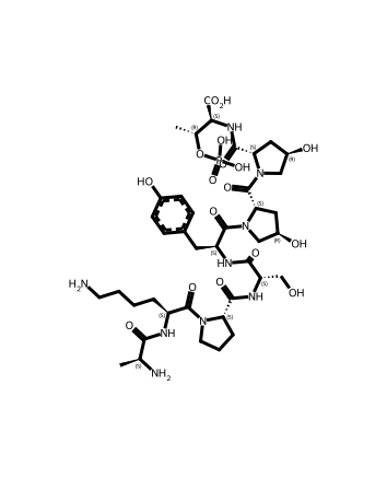 C[C@H](N)C(=O)N[C@@H](CCCCN)C(=O)N1CCC[C@H]1C(=O)N[C@@H](CO)C(=O)N[C@@H](Cc1ccc(O)cc1)C(=O)N1C[C@H](O)C[C@H]1C(=O)N1C[C@H](O)C[C@H]1C(=O)N[C@H](C(=O)O)[C@@H](C)OP(=O)(O)O